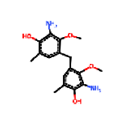 COc1c(Cc2cc(C)c(O)c(N)c2OC)cc(C)c(O)c1N